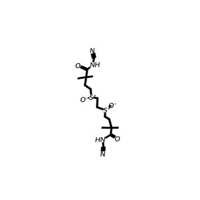 CC(C)(CC[S+]([O-])CC[S+]([O-])CCC(C)(C)C(=O)NC#N)C(=O)NC#N